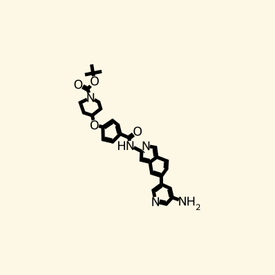 CC(C)(C)OC(=O)N1CCC(Oc2ccc(C(=O)Nc3cc4cc(-c5cncc(N)c5)ccc4cn3)cc2)CC1